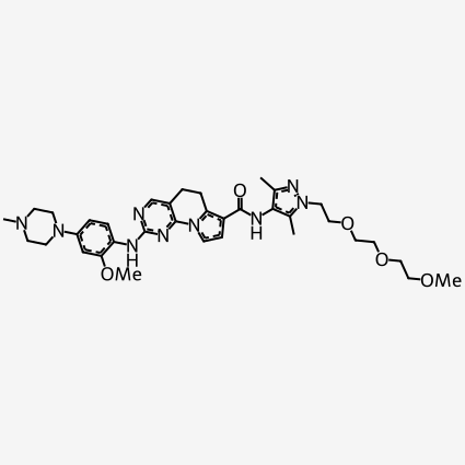 COCCOCCOCCn1nc(C)c(NC(=O)c2ccn3c2CCc2cnc(Nc4ccc(N5CCN(C)CC5)cc4OC)nc2-3)c1C